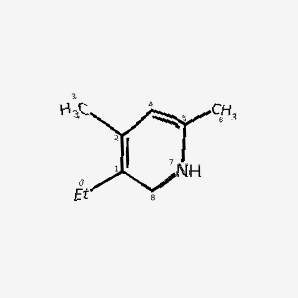 CCC1=C(C)C=C(C)NC1